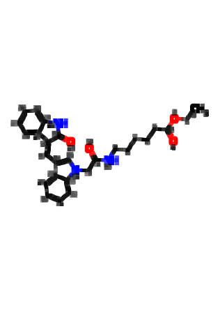 CCOC(=O)CCCCCNC(=O)Cn1cc(C=C2C(=O)Nc3ccccc32)c2ccccc21